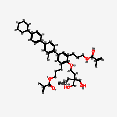 C=C(C)C(=O)OCCCc1cc(-c2ccc(-c3ccc(C4CCCCC4)cc3)cc2C)cc(CCCOC(=O)C(=C)C)c1OCCC(CO)(CO)COC